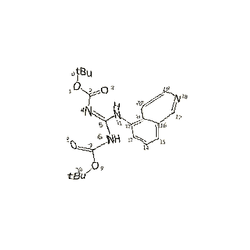 CC(C)(C)OC(=O)/N=C(/NC(=O)OC(C)(C)C)Nc1cccc2cnccc12